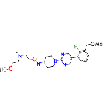 COCc1cccc(-c2cnc(N3CCC(=NOCCN(C)CCOC=O)CC3)nc2)c1F